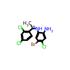 C[C@@H](Nc1cc(Br)c(Cl)cc1N)c1ccc(Cl)cc1Cl